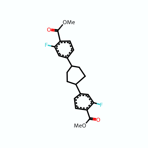 COC(=O)c1ccc(C2CCC(c3ccc(C(=O)OC)c(F)c3)CC2)cc1F